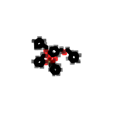 O=S(=O)(O[C@@]1(OCc2ccccc2)C[C@H](COCc2ccccc2)CCC1(OCc1ccccc1)OCc1ccccc1)C(F)(F)F